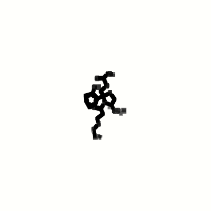 CCCSSCCC(=O)N1[C@H](C(=O)O)CSC1(COC(=O)C(C)(C)C)c1ccccc1O